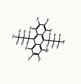 [B]c1c(F)c(F)c(F)c2c(C(F)(F)C(F)(F)C(F)(F)F)c3c(F)c(F)c(F)c(F)c3c(C(F)(F)C(F)(F)C(F)(F)F)c12